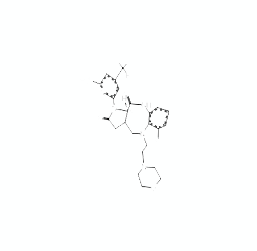 Cc1cc(C(F)(F)F)cc(N2C(=O)CC3CN(CCN4CCOCC4)c4c(C)cccc4NC(=O)[C@H]32)n1